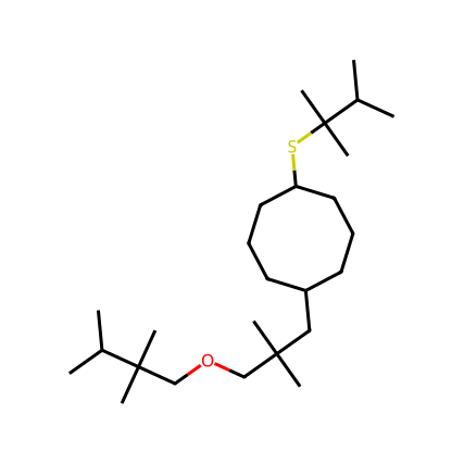 CC(C)C(C)(C)COCC(C)(C)CC1CCCC(SC(C)(C)C(C)C)CCC1